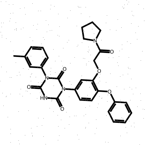 Cc1cccc(-n2c(=O)[nH]c(=O)n(-c3ccc(Oc4ccccc4)c(OCC(=O)N4CCCC4)c3)c2=O)c1